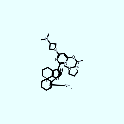 C[C@H](Oc1cc(N2CC(N(C)C)C2)nc(-c2noc3c2CCC[C@@]32CCCc3sc(N)c(C#N)c32)n1)[C@@H]1CCCN1C